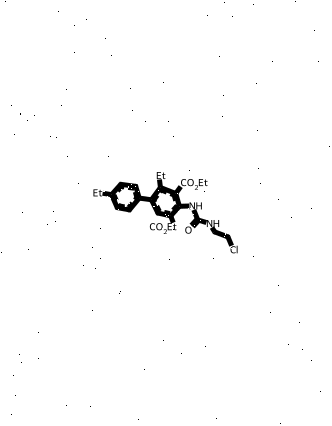 CCOC(=O)c1cc(-c2ccc(CC)cc2)c(CC)c(C(=O)OCC)c1NC(=O)NCCCl